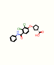 O=C(Nc1ccccc1)c1ccc(O[C@H]2CC[C@H](C(=O)O)C2)c(Cl)c1Cl